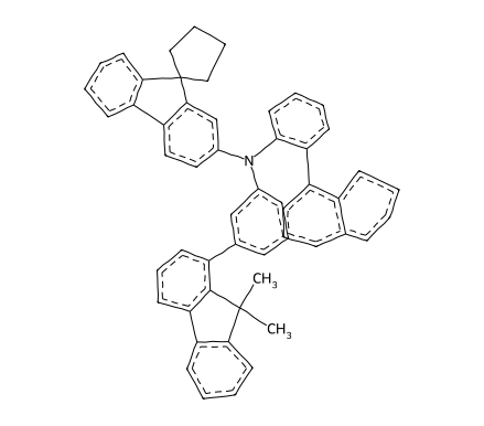 CC1(C)c2ccccc2-c2cccc(-c3cccc(N(c4ccc5c(c4)C4(CCCC4)c4ccccc4-5)c4ccccc4-c4cccc5ccccc45)c3)c21